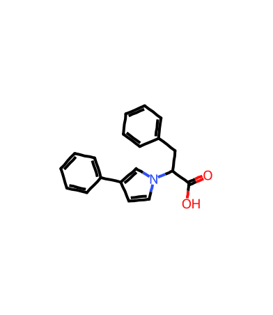 O=C(O)C(Cc1ccccc1)n1ccc(-c2ccccc2)c1